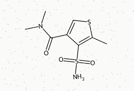 Cc1scc(C(=O)N(C)C)c1S(N)(=O)=O